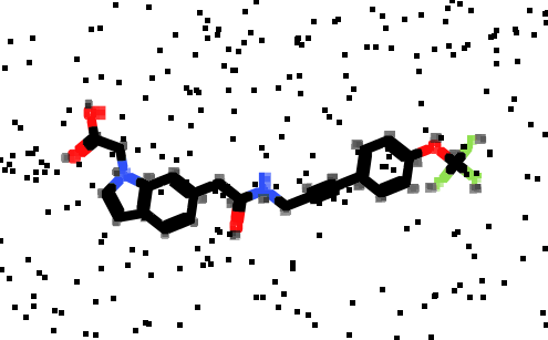 O=C(O)Cn1ccc2ccc(CC(=O)NCC#Cc3ccc(OC(F)(F)F)cc3)cc21